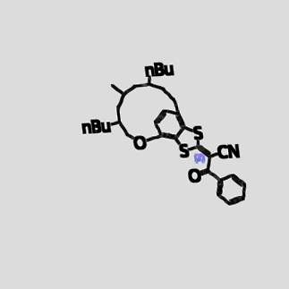 CCCCC1CCc2ccc(c3c2S/C(=C(\C#N)C(=O)c2ccccc2)S3)OCC(CCCC)CC(C)C1